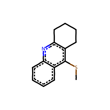 CSc1c2c(nc3ccccc13)CCCC2